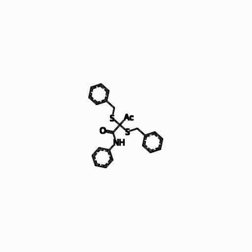 CC(=O)C(SCc1ccccc1)(SCc1ccccc1)C(=O)Nc1ccccc1